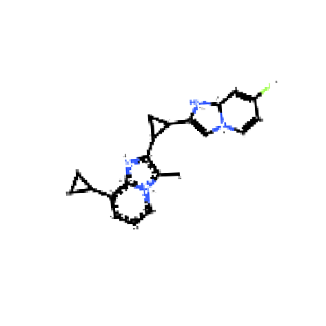 Cc1c(C2CC2C2=CN3C=CC(F)=CC3N2)nc2c(C3CC3)cccn12